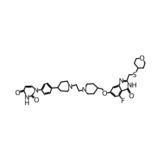 O=c1ccn(-c2ccc(C3CCN(CCN4CCC(COc5cc(F)c6c(=O)[nH]c(CSC7CCOCC7)nc6c5)CC4)CC3)cc2)c(=O)[nH]1